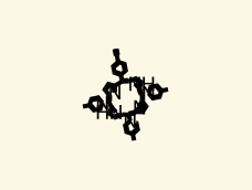 C#Cc1ccc(-c2c3nc(c(N4C=CC(C)=CC4)c4ccc([nH]4)c(N4C=CC(C)=CC4)c4nc(c(N5C=CC(C)=CC5)c5ccc2[nH]5)C=C4)C=C3)cc1